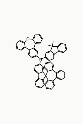 CC1(C)c2ccccc2-c2ccc(N(c3ccc4c(c3)-c3ccccc3Oc3ccccc3-4)c3ccc4c(c3)C3(c5ccccc5-c5ccccc5-c5ccccc53)c3ccccc3-4)cc21